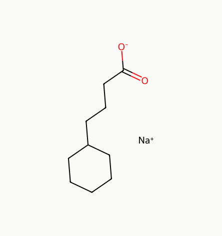 O=C([O-])CCCC1CCCCC1.[Na+]